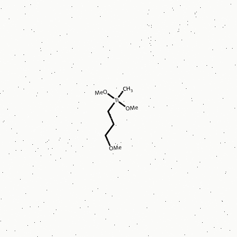 COCC[CH2][Ti]([CH3])([O]C)[O]C